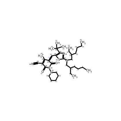 CCCCC(CC)CN(CC(CC)CCCC)c1nc(C(C)(C)C)c(/C=C2\C(=O)N(N3CCCCC3)C(=O)C(C#N)=C2C)s1